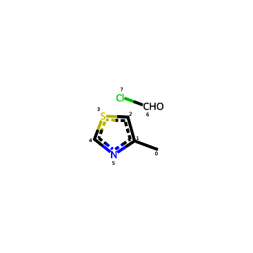 Cc1cscn1.O=CCl